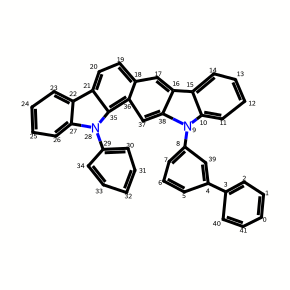 c1ccc(-c2cccc(-n3c4ccccc4c4cc5ccc6c7ccccc7n(-c7ccccc7)c6c5cc43)c2)cc1